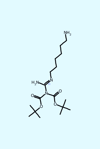 CC(C)(C)OC(=O)N(C(=O)OC(C)(C)C)/C(N)=N/CCCCCCN